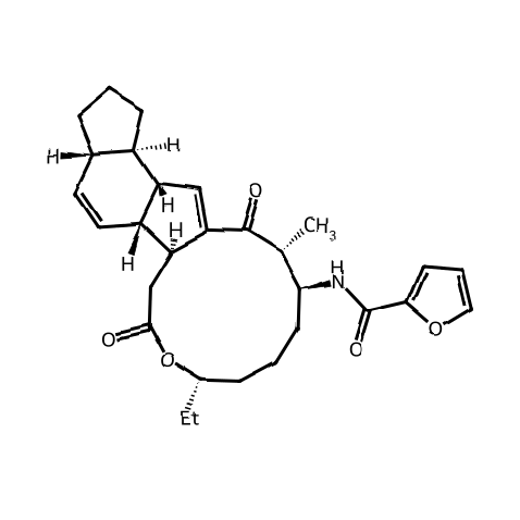 CC[C@H]1CCC[C@H](NC(=O)c2ccco2)[C@@H](C)C(=O)C2=C[C@@H]3[C@@H](C=C[C@@H]4CCC[C@@H]34)[C@@H]2CC(=O)O1